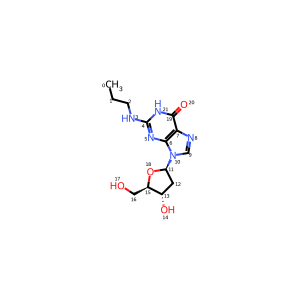 CCCNc1nc2c(ncn2[C@H]2C[C@H](O)[C@@H](CO)O2)c(=O)[nH]1